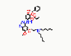 C=CC(=O)Oc1c(Nc2ncnc3cc(OC)c(OCCCN(CCCCCC)CCCCCC)cc23)ccc(OC)c1OCc1ccccc1